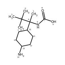 CC(C)(C)C(C)(NC(=O)O)C1CCC(N)CC1